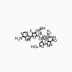 Nc1nc2c(nnn2[C@@H]2O[C@H](CO)C[C@H]2P(O)(=S)OC[C@H]2O[C@@H](n3nnc4c(N)ncnc43)[C@@H](F)[C@@H]2O[PH](O)=S)c(=O)[nH]1